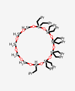 CC(C)C[SiH]1O[SiH2]O[SiH2]O[SiH2]O[SiH2]O[SiH2]O[Si](CC(C)C)(CC(C)C)O[Si](CC(C)C)(CC(C)C)O[Si](CC(C)C)(CC(C)C)O[Si](CC(C)C)(CC(C)C)O[Si](CC(C)C)(CC(C)C)O1